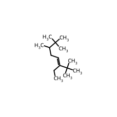 CC/C(=C\CC(C)C(C)(C)C)C(C)(C)C